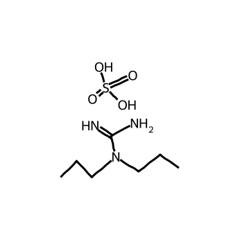 CCCN(CCC)C(=N)N.O=S(=O)(O)O